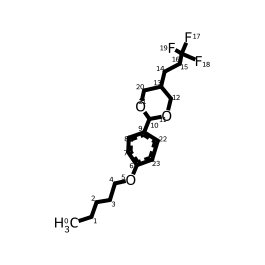 CCCCCOc1ccc(C2OCC(CCC(F)(F)F)CO2)cc1